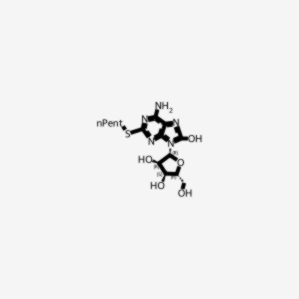 CCCCCSc1nc(N)c2nc(O)n([C@@H]3O[C@H](CO)[C@@H](O)[C@H]3O)c2n1